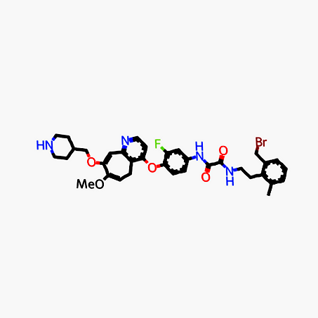 COC1=CCc2c(Oc3ccc(NC(=O)C(=O)NCCc4c(C)cccc4CBr)cc3F)ccnc2C=C1OCC1CCNCC1